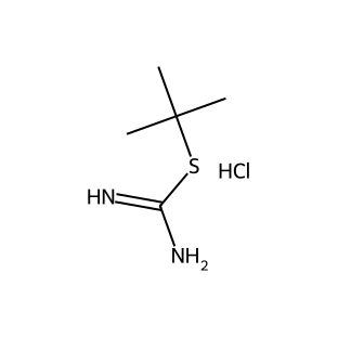 CC(C)(C)SC(=N)N.Cl